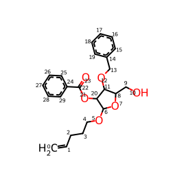 C=CCCCOC1OC(CO)C(OCc2ccccc2)C1OC(=O)c1ccccc1